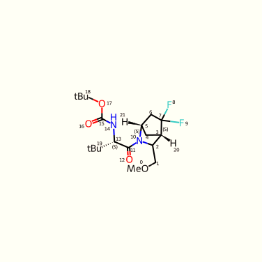 COCC1[C@@H]2C[C@@H](CC2(F)F)N1C(=O)[C@@H](NC(=O)OC(C)(C)C)C(C)(C)C